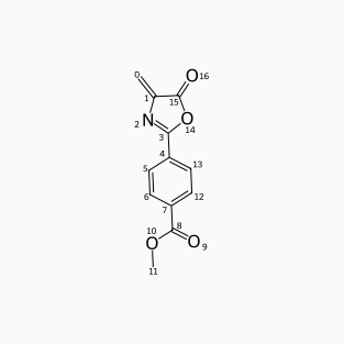 C=C1N=C(c2ccc(C(=O)OC)cc2)OC1=O